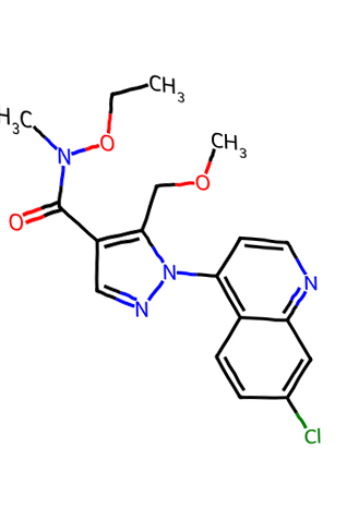 CCON(C)C(=O)c1cnn(-c2ccnc3cc(Cl)ccc23)c1COC